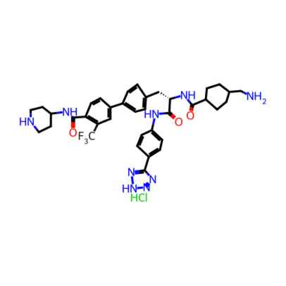 Cl.NCC1CCC(C(=O)N[C@@H](Cc2ccc(-c3ccc(C(=O)NC4CCNCC4)c(C(F)(F)F)c3)cc2)C(=O)Nc2ccc(-c3nn[nH]n3)cc2)CC1